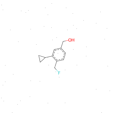 OCc1ccc(CF)c(C2CC2)c1